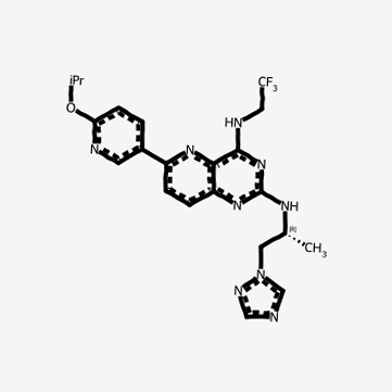 CC(C)Oc1ccc(-c2ccc3nc(N[C@H](C)Cn4cncn4)nc(NCC(F)(F)F)c3n2)cn1